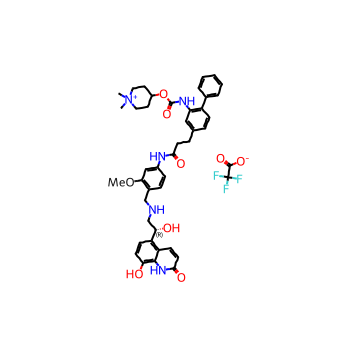 COc1cc(NC(=O)CCc2ccc(-c3ccccc3)c(NC(=O)OC3CC[N+](C)(C)CC3)c2)ccc1CNC[C@H](O)c1ccc(O)c2[nH]c(=O)ccc12.O=C([O-])C(F)(F)F